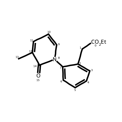 CCOC(=O)Cc1ccccc1-n1cccc(C)c1=O